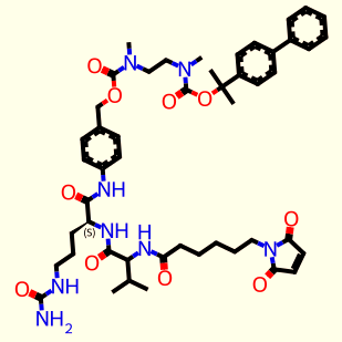 CC(C)C(NC(=O)CCCCCN1C(=O)C=CC1=O)C(=O)N[C@@H](CCCNC(N)=O)C(=O)Nc1ccc(COC(=O)N(C)CCN(C)C(=O)OC(C)(C)c2ccc(-c3ccccc3)cc2)cc1